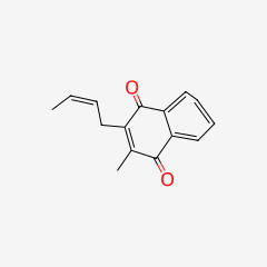 C/C=C\CC1=C(C)C(=O)c2ccccc2C1=O